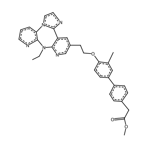 CCN1c2ncc(CCOc3ccc(-c4ccc(CC(=O)OC)cc4)cc3C)cc2-c2nccn2-c2cccnc21